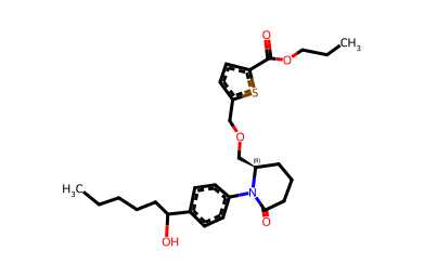 CCCCCC(O)c1ccc(N2C(=O)CCC[C@@H]2COCc2ccc(C(=O)OCCC)s2)cc1